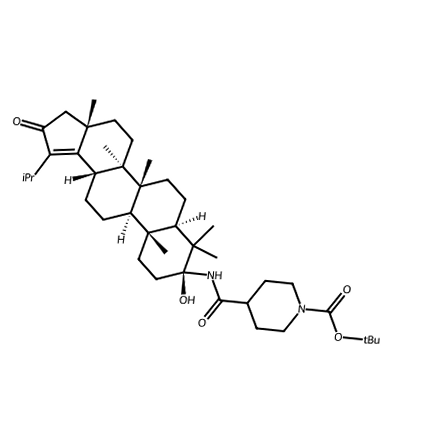 CC(C)C1=C2[C@H]3CC[C@@H]4[C@@]5(C)CC[C@@](O)(NC(=O)C6CCN(C(=O)OC(C)(C)C)CC6)C(C)(C)[C@@H]5CC[C@@]4(C)[C@]3(C)CC[C@@]2(C)CC1=O